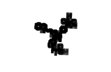 O=C(O)C(F)(F)F.O=C1NC(=O)C(c2ccc(-c3cnc(N4CCOCC4)c4nc(/C=C/c5ccc6ccccc6n5)cn34)cc2)N1